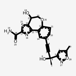 Cc1cc([C@](C)(O)C#Cc2ccc3c(c2)-c2nc(C(N)=O)sc2C(O)CO3)no1